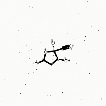 C#C[C@]1(CC)OC(O)C[C@@H]1O